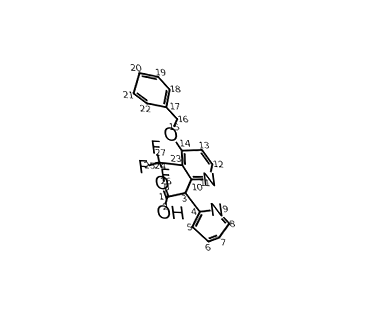 O=C(O)C(c1ccccn1)c1nccc(OCc2ccccc2)c1C(F)(F)F